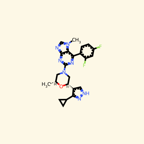 C[C@@H]1CN(c2nc(-c3ccc(F)cc3F)c3c(ncn3C)n2)C[C@H](c2c[nH]nc2C2CC2)O1